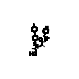 Cc1ccc(-c2ccc3c(c2)O[C@H](CN(C)Cc2ccncc2)[C@H](C)CN(C(C)CO)S3)cc1